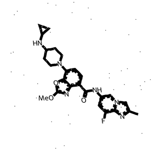 COc1nc2c(C(=O)Nc3cc(F)c4nc(C)cn4c3)ccc(N3CCC(NC4CC4)CC3)c2o1